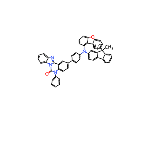 CC1(C)c2ccccc2-c2ccc(N(c3ccc(-c4ccc5c(c4)c4nc6ccccc6n4c(=O)n5-c4ccccc4)cc3)c3cccc4oc5ccccc5c34)cc21